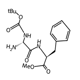 COC(=O)[C@H](Cc1ccccc1)NC(=O)[C@H](N)NC(=O)OC(C)(C)C